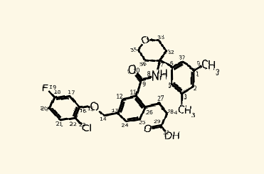 Cc1cc(C)cc(C2(NC(=O)c3cc(COc4cc(F)ccc4Cl)ccc3CCC(=O)O)CCOCC2)c1